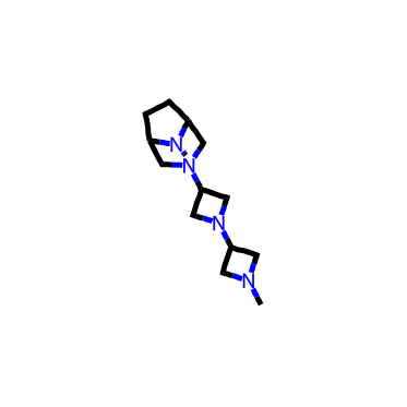 CN1CC(N2CC(N3CC4CCC(C3)N4C)C2)C1